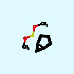 COSOC.c1cc2cc-2c1